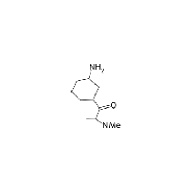 CNC(C)C(=O)C1CCCC(N)C1